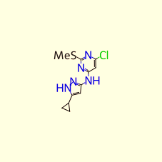 CSc1nc(Cl)cc(Nc2cc(C3CC3)[nH]n2)n1